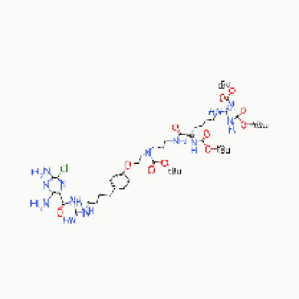 CC(C)(C)OC(=O)/N=C(\NCCCC[C@H](NC(=O)OC(C)(C)C)C(=O)NCCCN(CCOc1ccc(CCCCNC(=N)NC(=O)c2nc(Cl)c(N)nc2N)cc1)C(=O)OC(C)(C)C)NC(=O)OC(C)(C)C